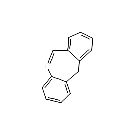 [C]1=Nc2ccccc2Cc2ccccc21